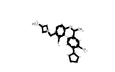 CC(Oc1ccc(CN2CC(C(=O)O)C2)c(F)c1)c1ccc(C2CCCC2)c(C(F)(F)F)c1